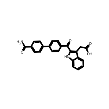 NC(=O)c1ccc(-c2ccc(C(=O)c3[nH]c4ccccc4c3CC(=O)O)cc2)cc1